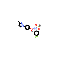 CCS(=O)(=O)N[C@H]1CCC(F)(F)C[C@@H]1COc1ccc(-n2ccc(C)n2)cc1